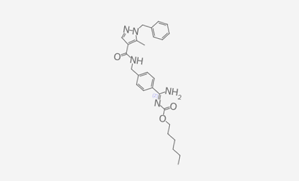 CCCCCCOC(=O)/N=C(\N)c1ccc(CNC(=O)c2cnn(Cc3ccccc3)c2C)cc1